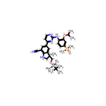 CC(C)Oc1cc(P(C)(C)=O)ccc1Nc1nccc(-c2cc(C#N)c3c(c2)[C@@](C)(CO[Si](C)(C)C(C)(C)C)CN3)n1